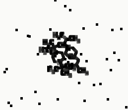 CC(C)(C)N1C[CH2][Ga]([C](C)(C)C)[CH2]C1.CC(C)CN1C[CH2][Ga]([CH2]C(C)C)[CH2]C1